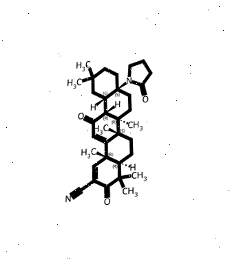 CC1(C)CC[C@]2(N3CCCC3=O)CC[C@]3(C)[C@H](C(=O)C=C4[C@@]5(C)C=C(C#N)C(=O)C(C)(C)[C@@H]5CC[C@]43C)[C@@H]2C1